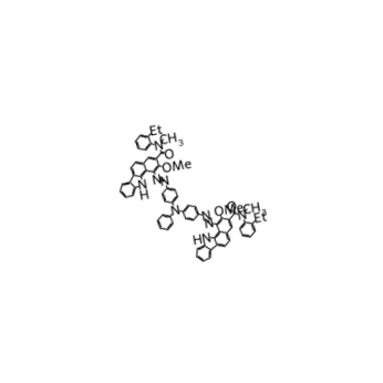 CCc1ccccc1N(C)C(=O)c1cc2ccc3c4ccccc4[nH]c3c2c(N=Nc2ccc(N(c3ccccc3)c3ccc(N=Nc4c(OC)c(C(=O)N(C)c5ccccc5CC)cc5ccc6c7ccccc7[nH]c6c45)cc3)cc2)c1OC